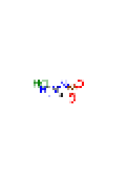 C.Cl.NN=S(=O)=O